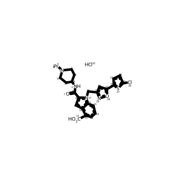 CC(C)N1CCC(NC(=O)c2cc3c(C(=O)O)cccc3n2Cc2cc(-c3ccc(Cl)s3)on2)CC1.Cl